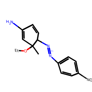 CCOC1(C)C=C(N)C=CC1/N=N/c1ccc([N+](=O)[O-])cc1